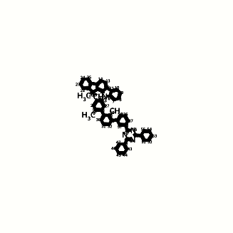 Cc1ccc(-n2c3ccccc3c3ccc4c(c32)C(C)(C)c2ccccc2-4)cc1-c1cccc(-c2cccc(-c3nc(-c4ccccc4)nc(-c4ccccc4)n3)c2)c1C